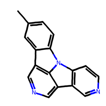 Cc1ccc2c(c1)c1cncc3c4cnccc4n2c31